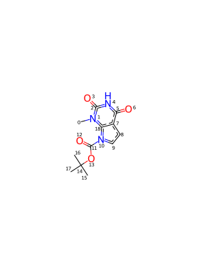 Cn1c(=O)[nH]c(=O)c2ccn(C(=O)OC(C)(C)C)c21